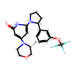 C[C@@H]1COCCN1c1cc(N2CCCC2c2cccc(OC(F)(F)F)c2)[nH]c(=O)c1